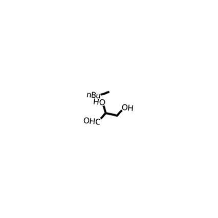 CCCCC.O=CC(O)CO